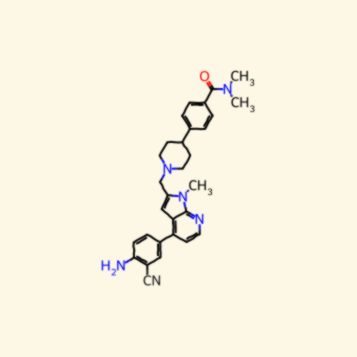 CN(C)C(=O)c1ccc(C2CCN(Cc3cc4c(-c5ccc(N)c(C#N)c5)ccnc4n3C)CC2)cc1